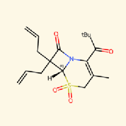 C=CCC1(CC=C)C(=O)N2C(C(=O)C(C)(C)C)=C(C)CS(=O)(=O)[C@@H]21